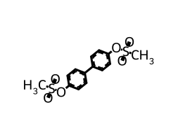 CS(=O)(=O)Oc1ccc(-c2ccc(OS(C)(=O)=O)cc2)cc1